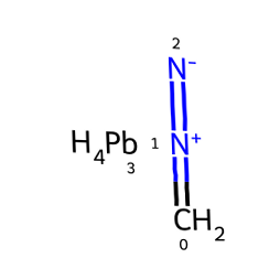 C=[N+]=[N-].[PbH4]